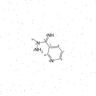 CN(N)C(=N)c1cccnc1